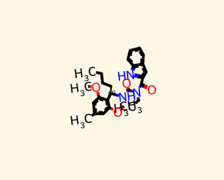 CCCC[C@@H](NC(=O)N(CC)C(=O)c1cc2ccccc2[nH]1)c1c(OC)cc(C)cc1OC